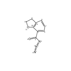 [N-]=[N+]=NC(=O)c1cccc2c1OCC2